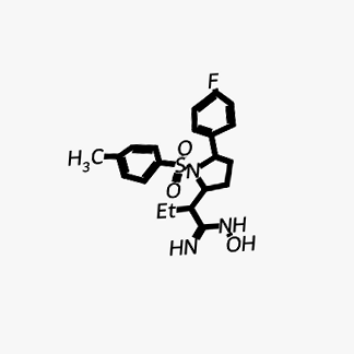 CCC(C(=N)NO)C1CCC(c2ccc(F)cc2)N1S(=O)(=O)c1ccc(C)cc1